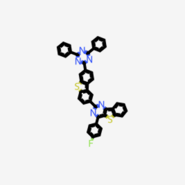 Fc1ccc(-c2nc(-c3ccc4sc5cc(-c6nc(-c7ccccc7)nc(-c7ccccc7)n6)ccc5c4c3)nc3c2sc2ccccc23)cc1